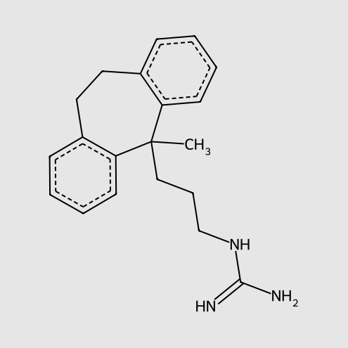 CC1(CCCNC(=N)N)c2ccccc2CCc2ccccc21